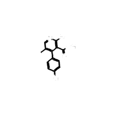 Cc1cnc(Br)c(C(=O)O)c1-c1ccc(Cl)cc1